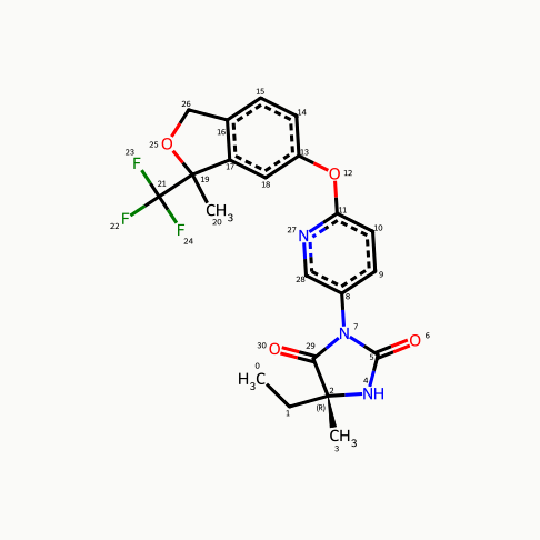 CC[C@@]1(C)NC(=O)N(c2ccc(Oc3ccc4c(c3)C(C)(C(F)(F)F)OC4)nc2)C1=O